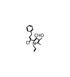 C=CCn1c(C)c(C)c(C=O)c1/C(Cl)=C\Cc1ccccc1